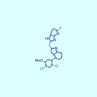 COc1cc(-c2cccc3nc(Cc4nc5nc(F)ccc5[nH]4)cn23)c(Cl)cc1Cl